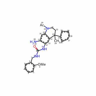 COc1ccccc1CNC(=O)Nc1cc2c(cc1N)N(C(C)=O)CCC2(C)c1ccccc1